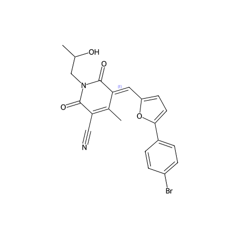 CC1=C(C#N)C(=O)N(CC(C)O)C(=O)/C1=C/c1ccc(-c2ccc(Br)cc2)o1